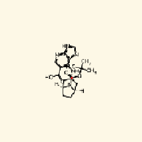 CC(C)(C)OC(=O)N1[C@@H]2CC[C@H]1C[C@H](Nc1c(C(=O)O)cnc3[nH]cnc13)C2